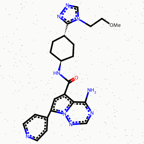 COCCn1cnnc1[C@H]1CC[C@H](NC(=O)c2cc(-c3ccncc3)n3ncnc(N)c23)CC1